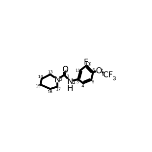 O=C(Nc1ccc(OC(F)(F)F)c(F)c1)N1CCCCC1